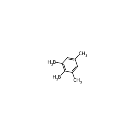 Bc1cc(C)cc(C)c1B